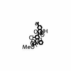 COC(=O)[C@H](C)N(C(=O)c1c(Cl)cc(-n2c(=O)[nH]c3ccc(N(C)C)cc3c2=O)cc1Cl)c1ccccc1